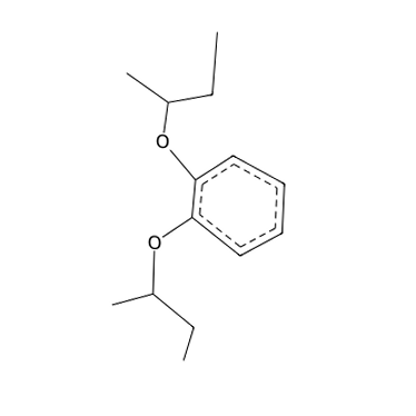 CCC(C)Oc1ccccc1OC(C)CC